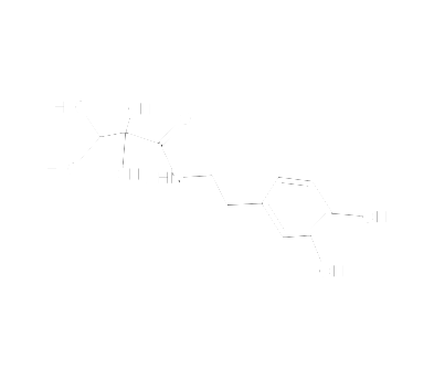 CC(C)C(C)(C)C(=O)NCCc1ccc(O)c(O)c1